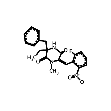 CCC1(Cc2ccccc2)NC(=O)C(=Cc2c(F)cccc2[N+](=O)[O-])N(C)C1=O